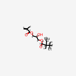 C=C(C)C(=O)OCC(O)COC(=O)C(C)(CC(C)(C)C)C(C)(C)CC